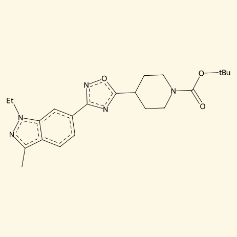 CCn1nc(C)c2ccc(-c3noc(C4CCN(C(=O)OC(C)(C)C)CC4)n3)cc21